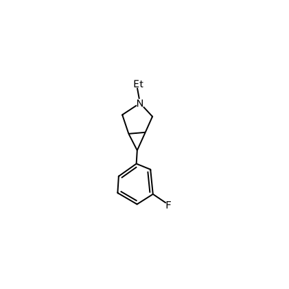 CCN1CC2C(C1)C2c1cccc(F)c1